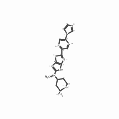 C[C@H]1CC(N(C)c2nc3sc(-c4cnc(-n5ccnc5)cn4)nc3s2)CCN1